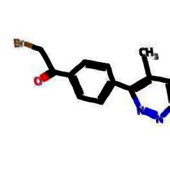 Cc1ccnnc1-c1ccc(C(=O)CBr)cc1